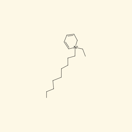 CCCCCCCCC[N+]1(CC)C=CC=CC1